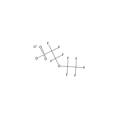 O=S(=O)([O-])C(F)(F)C(F)(F)OC(F)(F)C(F)(F)F.[Li+]